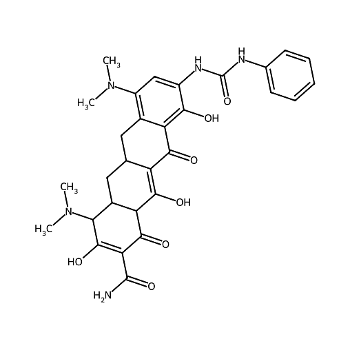 CN(C)c1cc(NC(=O)Nc2ccccc2)c(O)c2c1CC1CC3C(C(=O)C(C(N)=O)=C(O)C3N(C)C)C(O)=C1C2=O